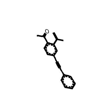 C=C(C)c1cc(C#Cc2ccccc2)ccc1C(C)=O